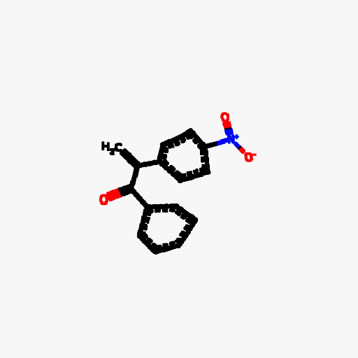 C=C(C(=O)c1ccccc1)c1ccc([N+](=O)[O-])cc1